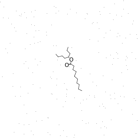 CCCCCCCCCC(=O)OC(CCC)CCCC